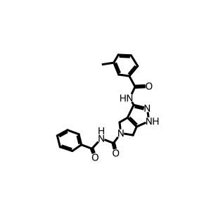 Cc1cccc(C(=O)Nc2n[nH]c3c2CN(C(=O)NC(=O)c2ccccc2)C3)c1